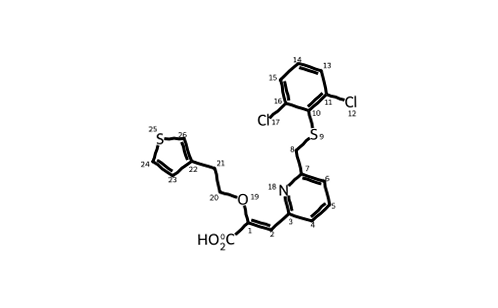 O=C(O)C(=Cc1cccc(CSc2c(Cl)cccc2Cl)n1)OCCc1ccsc1